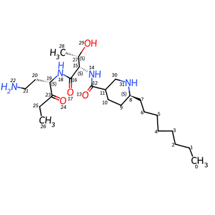 CCCCCCCC[C@H]1CCC(C(=O)N[C@H](C(=O)N[C@@H](CCN)C(=O)CC)[C@H](C)O)CN1